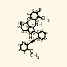 COc1cccnc1C#Cc1cnccc1-c1[nH]c2c(c1Nc1cccc(F)c1C)C(=O)NCC2